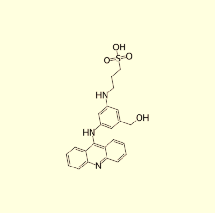 O=S(=O)(O)CCCNc1cc(CO)cc(Nc2c3ccccc3nc3ccccc23)c1